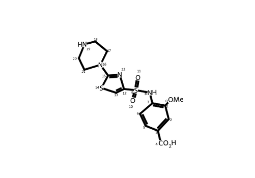 COc1cc(C(=O)O)ccc1NS(=O)(=O)c1csc(N2CCNCC2)n1